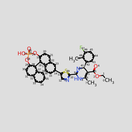 CCOC(=O)C1=C(C)NC(c2ncc(-c3ccc4c5c(ccc4c3)OP(=O)(O)Oc3ccc4ccccc4c3-5)s2)=N[C@H]1c1cccc(F)c1C